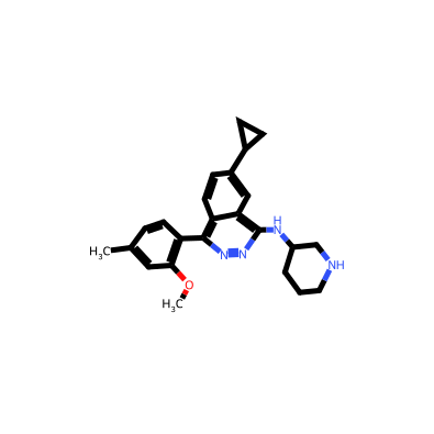 COc1cc(C)ccc1-c1nnc(NC2CCCNC2)c2cc(C3CC3)ccc12